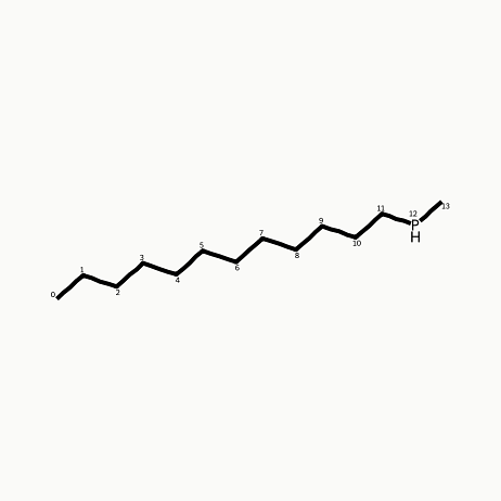 CCCCCCCCCCCCPC